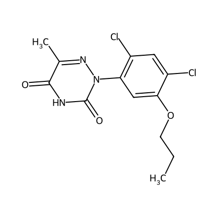 CCCOc1cc(-n2nc(C)c(=O)[nH]c2=O)c(Cl)cc1Cl